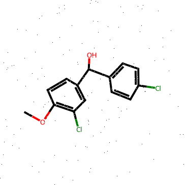 COc1ccc(C(O)c2ccc(Cl)cc2)cc1Cl